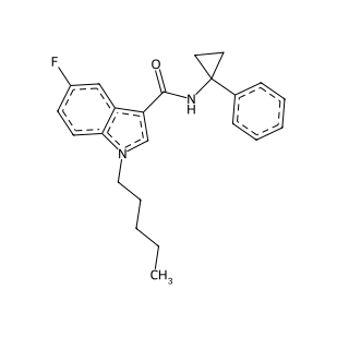 CCCCCn1cc(C(=O)NC2(c3ccccc3)CC2)c2cc(F)ccc21